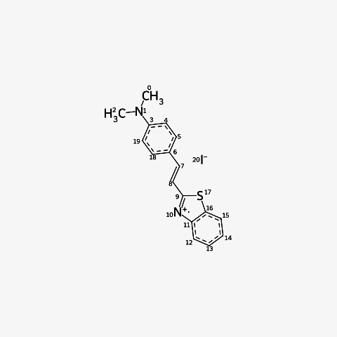 CN(C)c1ccc(C=CC2=[N+]c3ccccc3S2)cc1.[I-]